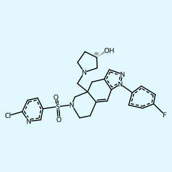 O=S(=O)(c1ccc(Cl)nc1)N1CCC2=Cc3c(cnn3-c3ccc(F)cc3)CC2(CN2CC[C@H](O)C2)C1